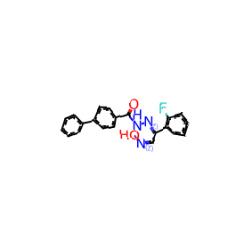 O=C(N/N=C(\C=N/O)c1ccccc1F)c1ccc(-c2ccccc2)cc1